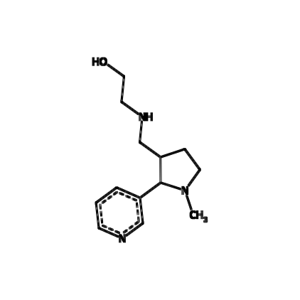 CN1CCC(CNCCO)C1c1cccnc1